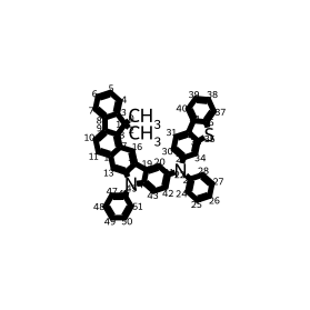 CC1(C)c2ccccc2-c2ccc3cc4c(cc3c21)c1cc(N(c2ccccc2)c2ccc3c(c2)sc2ccccc23)ccc1n4-c1ccccc1